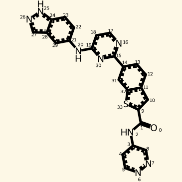 O=C(Nc1ccnnc1)c1cc2ccc(-c3nccc(Nc4ccc5[nH]ncc5c4)n3)cc2s1